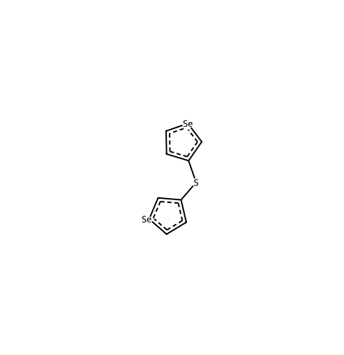 c1cc(Sc2cc[se]c2)c[se]1